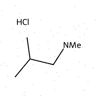 CNCC(C)C.Cl